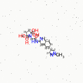 Cn1cc(-c2ccc3cnc(NC(=O)CN4C(O)(O)CCC4(O)O)cc3c2)cn1